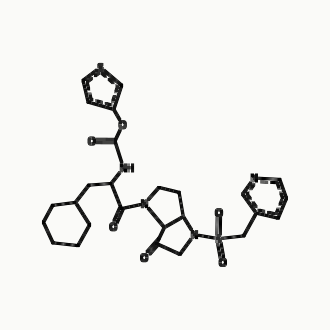 O=C(NC(CC1CCCCC1)C(=O)N1CCC2C1C(=O)CN2S(=O)(=O)Cc1cccnc1)Oc1ccsc1